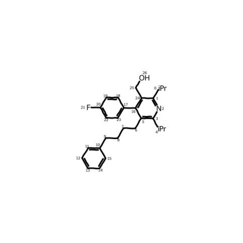 CC(C)c1nc(C(C)C)c(CCCCc2ccccc2)c(-c2ccc(F)cc2)c1CO